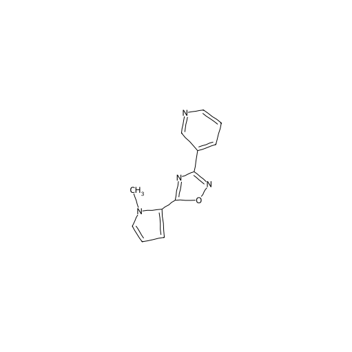 Cn1cccc1-c1nc(-c2cccnc2)no1